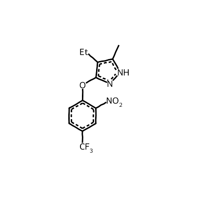 CCc1c(Oc2ccc(C(F)(F)F)cc2[N+](=O)[O-])n[nH]c1C